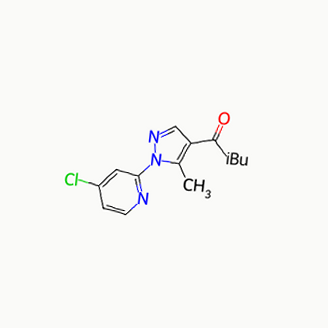 CCC(C)C(=O)c1cnn(-c2cc(Cl)ccn2)c1C